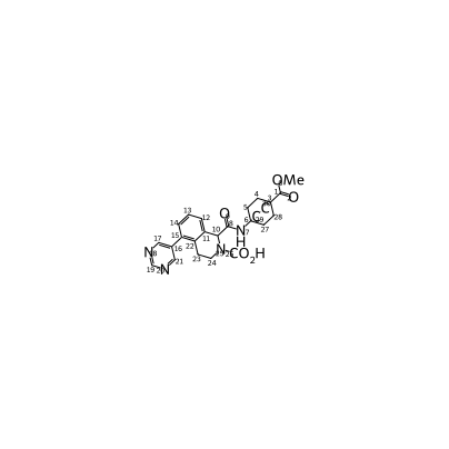 COC(=O)C12CCC(NC(=O)C3c4cccc(-c5cncnc5)c4CCN3C(=O)O)(CC1)CC2